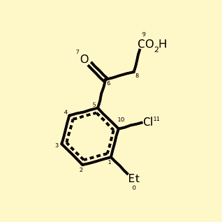 CCc1cccc(C(=O)CC(=O)O)c1Cl